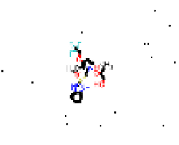 CCC(O)CO.Cc1c(OCC(F)(F)F)ccnc1C[S@@+]([O-])c1nc2ccccc2[nH]1